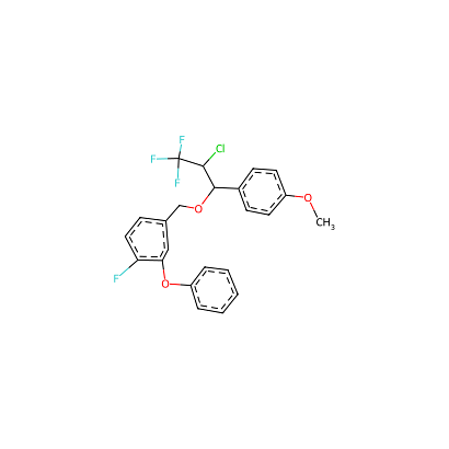 COc1ccc(C(OCc2ccc(F)c(Oc3ccccc3)c2)C(Cl)C(F)(F)F)cc1